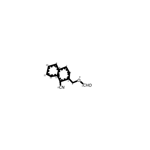 N#Cc1c(COC=O)ccc2ccccc12